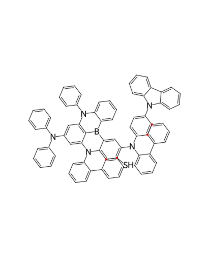 Sc1cc2c(cc1N(c1ccc(-n3c4ccccc4c4ccccc43)cc1)c1ccccc1-c1ccccc1)B1c3ccccc3N(c3ccccc3)c3cc(N(c4ccccc4)c4ccccc4)cc(c31)N2c1ccccc1-c1ccccc1